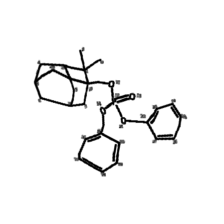 CC1(C)C2CC3CC(C2)CC1(OP(=O)(Oc1ccccc1)Oc1ccccc1)C3